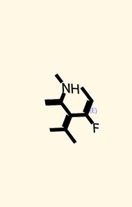 C=C(NC)C(=C(C)C)/C(F)=C\C